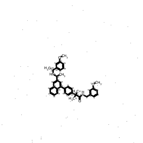 COc1cccc(CNC(=O)C(C)(C)c2ccc(-c3cc(C(C)N[C@H](C)c4cccc(OC)c4)cc4ccccc34)cc2)c1